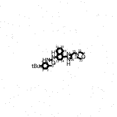 Cc1ccc(C(C)(C)C)cc1NC(=O)Nc1ccc(-c2nc(CN3CCOCC3)c[nH]2)c2ccccc12